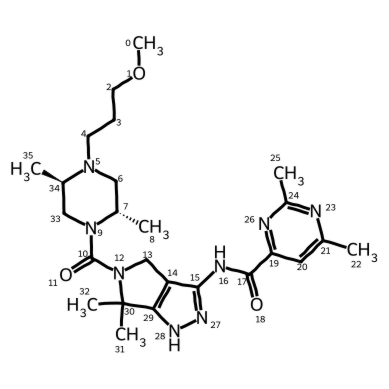 COCCCN1C[C@H](C)N(C(=O)N2Cc3c(NC(=O)c4cc(C)nc(C)n4)n[nH]c3C2(C)C)C[C@H]1C